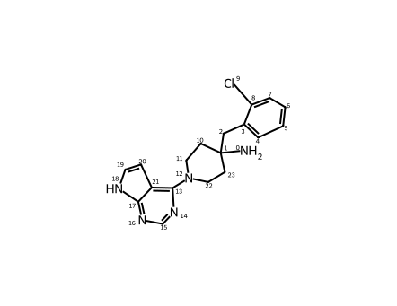 NC1(Cc2ccccc2Cl)CCN(c2ncnc3[nH]ccc23)CC1